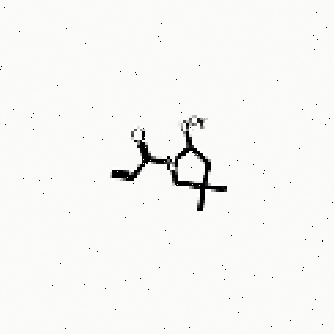 C=CC(=O)N1CC(C)(C)CC1CCC